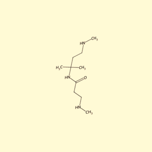 CNCCC(=O)NC(C)(C)CCNC